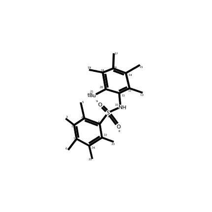 Cc1c(C)c(C)c(S(=O)(=O)Nc2c(C)c(C)c(C)c(C)c2C(C)(C)C)c(C)c1C